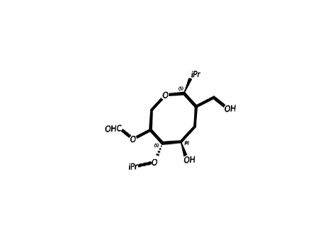 CC(C)O[C@@H]1C(OC=O)CO[C@@H](C(C)C)C(CO)C[C@H]1O